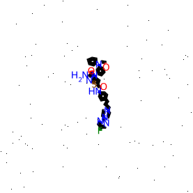 Nc1nc2sc(C(=O)Nc3ccc(CCCN4CCN(c5ncc(F)cn5)CC4)cc3)cc2n(-c2ccc3c(c2)N(c2ccccc2)CCO3)c1=O